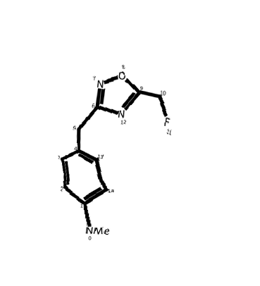 CNc1ccc(Cc2noc(CF)n2)cc1